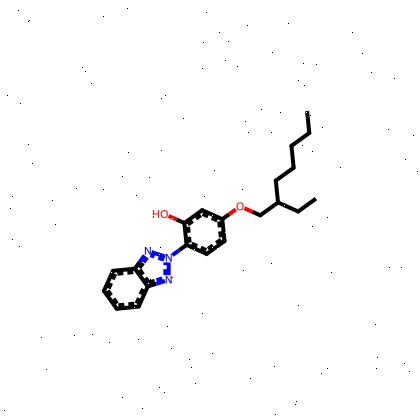 CCCCCC(CC)COc1ccc(-n2nc3ccccc3n2)c(O)c1